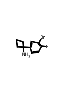 NC1(c2ccc(F)c(Br)c2)CCC1